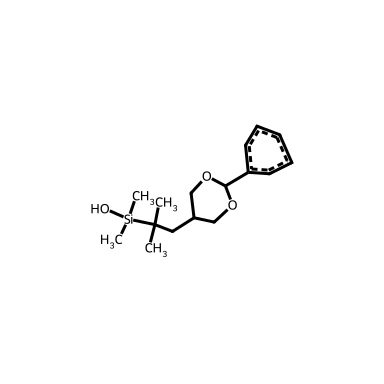 CC(C)(CC1COC(c2ccccc2)OC1)[Si](C)(C)O